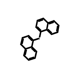 c1ccc2c([I]c3cccc4ccccc34)cccc2c1